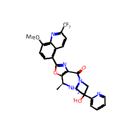 COc1ccc(-c2nc(C(=O)N3CC(O)(c4ccccn4)C3)c([C@H](C)N)o2)c2ccc(C(F)(F)F)nc12